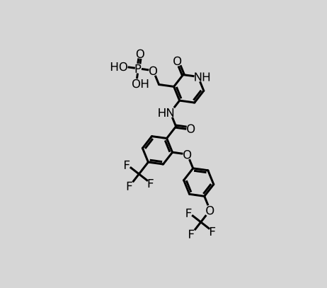 O=C(Nc1cc[nH]c(=O)c1COP(=O)(O)O)c1ccc(C(F)(F)F)cc1Oc1ccc(OC(F)(F)F)cc1